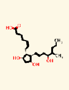 CCCC(C)C(O)C/C=C/[C@@H]1[C@@H](C/C=C\CCCC(=O)O)[C@@H](O)C[C@H]1O